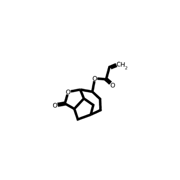 C=CC(=O)OC1CCC2CC3C(=O)OC1C3C2